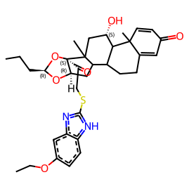 CCC[C@@H]1O[C@@H]2CC3C4CCC5=CC(=O)C=CC5(C)C4[C@@H](O)CC3(C)[C@]2(C(=O)CSc2nc3cc(OCC)ccc3[nH]2)O1